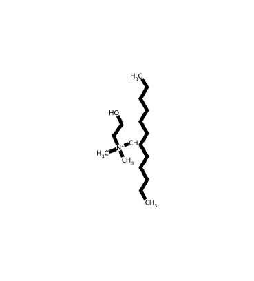 CCCCCCCCCCCC.C[N+](C)(C)CCO